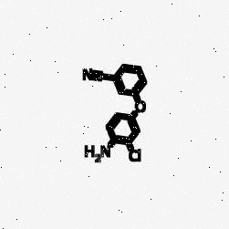 N#Cc1cccc(Oc2ccc(N)c(Cl)c2)c1